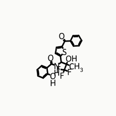 CC(O)(C(NC(=O)c1ccccc1O)c1ccc(C(=O)c2ccccc2)s1)C(F)(F)F